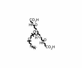 CC(C)(CCN=[N+]=[N-])OCCC(C)(C)C(=O)NC(COCCC(=O)NCCC(=O)O)COCCC(=O)NCCC(=O)O